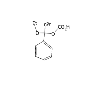 CCCC(OCC)(OC(=O)O)c1ccccc1